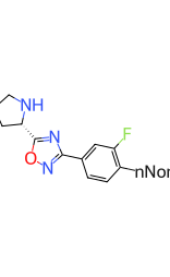 CCCCCCCCCc1ccc(-c2noc([C@@H]3CCCN3)n2)cc1F